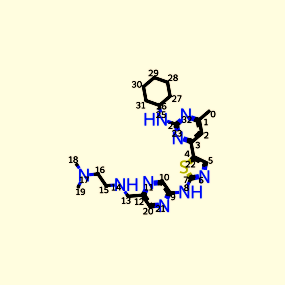 Cc1cc(-c2cnc(Nc3cnc(CNCCN(C)C)cn3)s2)nc(NC2CCCCC2)n1